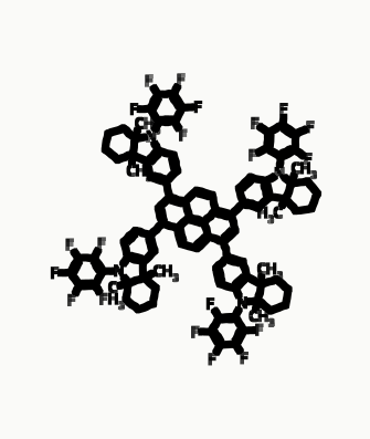 CC12CCCCC1(C)N(c1c(F)c(F)c(F)c(F)c1F)c1ccc(-c3cc(-c4ccc5c(c4)C4(C)CCCCC4(C)N5c4c(F)c(F)c(F)c(F)c4F)c4ccc5c(-c6ccc7c(c6)C6(C)CCCCC6(C)N7c6c(F)c(F)c(F)c(F)c6F)cc(-c6ccc7c(c6)C6(C)CCCCC6(C)N7c6c(F)c(F)c(F)c(F)c6F)c6ccc3c4c65)cc12